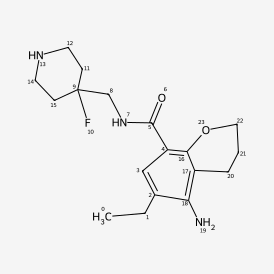 CCc1cc(C(=O)NCC2(F)CCNCC2)c2c(c1N)CCCO2